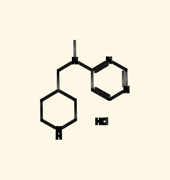 CN(CC1CCNCC1)c1ccncn1.Cl